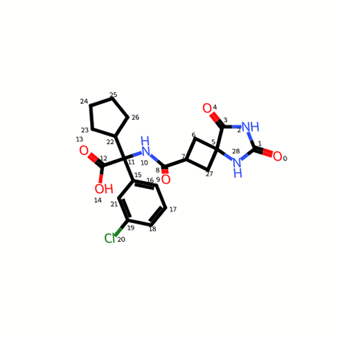 O=C1NC(=O)C2(CC(C(=O)NC(C(=O)O)(c3cccc(Cl)c3)C3CCCC3)C2)N1